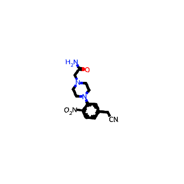 N#CCc1ccc([N+](=O)[O-])c(N2CCN(CC(N)=O)CC2)c1